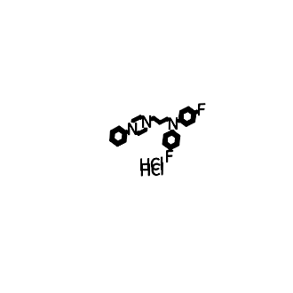 Cl.Cl.Fc1ccc(N(CCCN2CCN(c3ccccc3)CC2)c2ccc(F)cc2)cc1